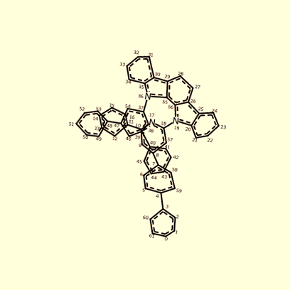 c1ccc(-c2ccc(-c3cc(-c4ccccc4)nc(-n4c5ccccc5c5ccc6c7ccccc7n(-c7cc(-c8ccccc8)cc(-c8ccccc8)c7)c6c54)c3)cc2)cc1